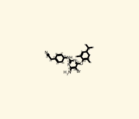 CC1=CC(C(C)C)CC(C)=C1Oc1nc(NC2C=CC(CC#N)=CC2)nc(N)c1Br